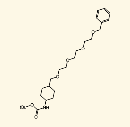 CC(C)(C)OC(=O)NC1CCC(COCCOCCOCCOCc2ccccc2)CC1